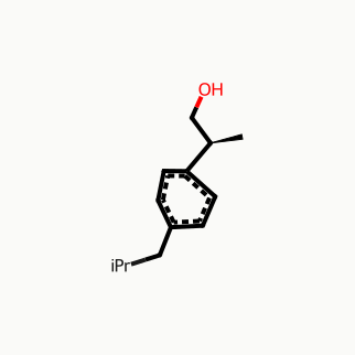 CC(C)Cc1ccc([C@H](C)CO)cc1